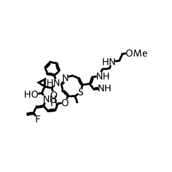 C=C(F)/C=C(\C=C/CO/C1=C/C=N\C/C=C(/C(C=N)=C/NCCNCCOC)SC1C)NC(O)C1(C(O)Nc2ccccc2)CC1